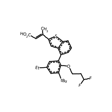 CCc1cc(-c2cccc3sc(C(C)=CC(=O)O)cc23)c(OCCC(F)F)c(C(C)(C)C)c1